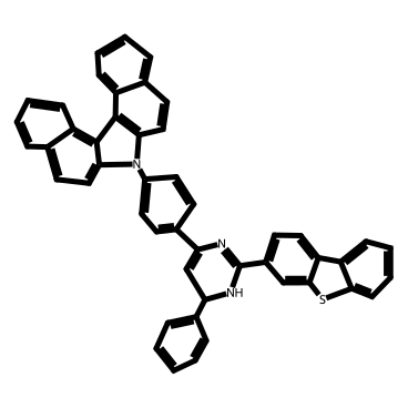 C1=C(c2ccc(-n3c4ccc5ccccc5c4c4c5ccccc5ccc43)cc2)N=C(c2ccc3c(c2)sc2ccccc23)NC1c1ccccc1